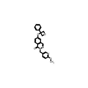 COc1ccc(Cn2ncc3cc(OC4(c5ccccc5)COC4)ccc3c2=O)cn1